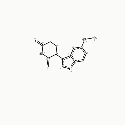 CC(C)(C)Nc1ccc2onc(C3CCC(=O)NC3=O)c2c1